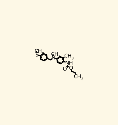 CCCOC(=O)Nc1ccc(N(C)Cc2ccc(SC)cc2)cc1C